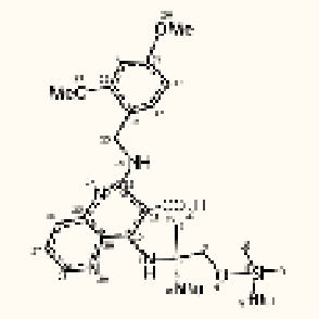 CCCC[C@](C)(CO[Si](C)(C)C(C)(C)C)Nc1c(C(=O)O)c(NCc2ccc(OC)cc2OC)nc2cccnc12